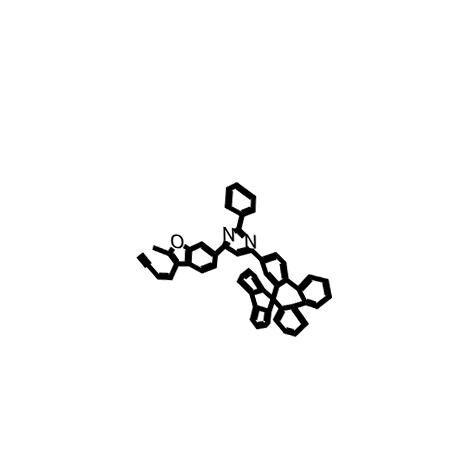 C#C/C=C\c1c(C)oc2cc(-c3cc(-c4ccc5c(c4)C4(c6ccccc6-c6ccccc6-5)c5ccccc5-c5ccccc54)nc(-c4ccccc4)n3)ccc12